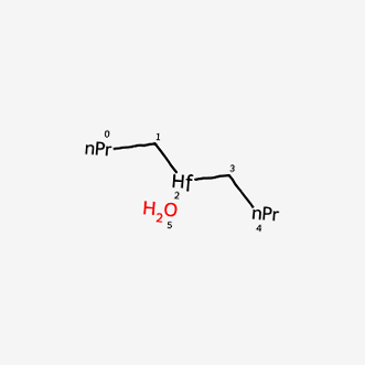 CCC[CH2][Hf][CH2]CCC.O